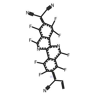 C=C/C(C#N)=c1/c(F)c(F)c2c(c(F)nc3c2nc(F)c2c(F)c(=C(C#N)C#N)c(F)c(F)c23)c1F